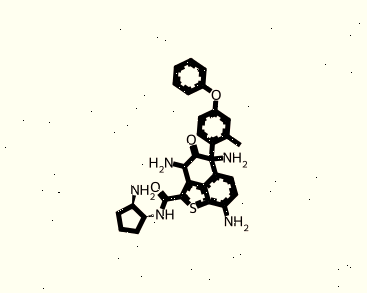 Cc1cc(Oc2ccccc2)ccc1C1(N)C(=O)C(N)c2c(C(=O)N[C@@H]3CCC[C@H]3N)sc3c(N)ccc1c23